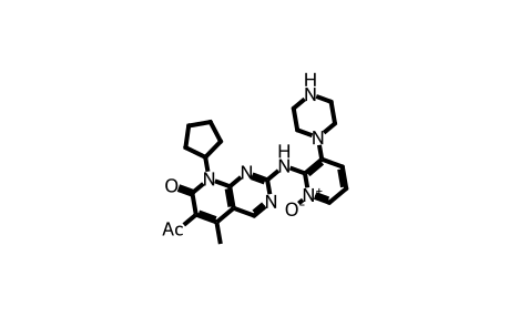 CC(=O)c1c(C)c2cnc(Nc3c(N4CCNCC4)ccc[n+]3[O-])nc2n(C2CCCC2)c1=O